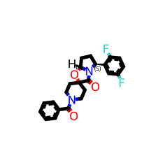 O=C(c1ccccc1)N1CCC2(CC1)O[C@@H]1CC[C@@H](c3cc(F)ccc3F)N1C2=O